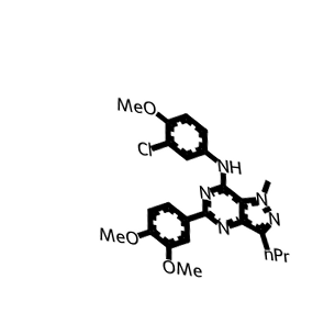 CCCc1nn(C)c2c(Nc3ccc(OC)c(Cl)c3)nc(-c3ccc(OC)c(OC)c3)nc12